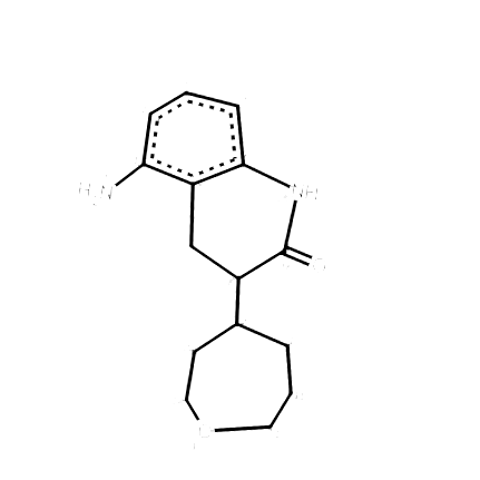 Nc1cccc2c1CC(C1CCCOCC1)C(=O)N2